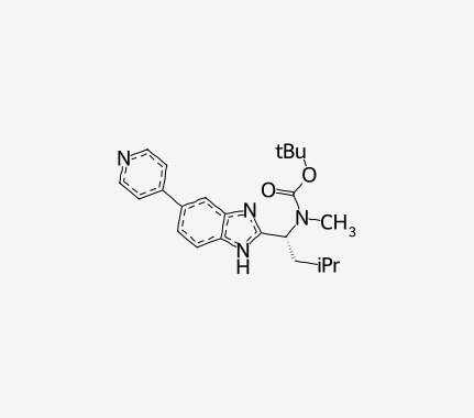 CC(C)C[C@H](c1nc2cc(-c3ccncc3)ccc2[nH]1)N(C)C(=O)OC(C)(C)C